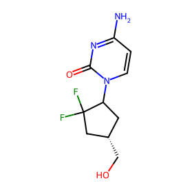 Nc1ccn(C2C[C@H](CO)CC2(F)F)c(=O)n1